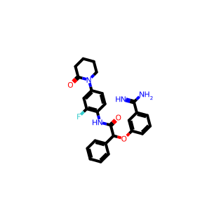 N=C(N)c1cccc(OC(C(=O)Nc2ccc(N3CCCCC3=O)cc2F)c2ccccc2)c1